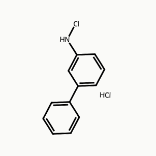 Cl.ClNc1cccc(-c2ccccc2)c1